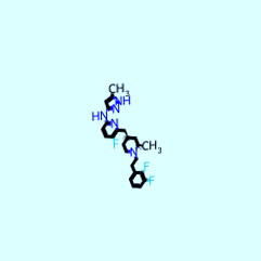 Cc1cc(Nc2ccc(F)c(C[C@@H]3CCN(CCc4cccc(F)c4F)[C@H](C)C3)n2)n[nH]1